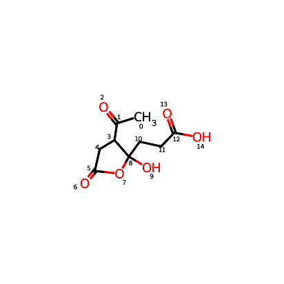 CC(=O)C1CC(=O)OC1(O)CCC(=O)O